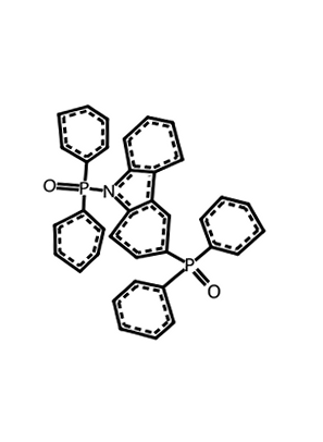 O=P(c1ccccc1)(c1ccccc1)c1ccc2c(c1)c1ccccc1n2P(=O)(c1ccccc1)c1ccccc1